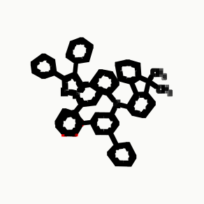 CC1(C)c2ccccc2-c2c(N(c3cc(-c4ccccc4)cc(-c4ccccc4)c3)c3cccc4c3cc(-c3ccccc3)n3nc(-c5ccccc5)c(-c5ccccc5)c43)cccc21